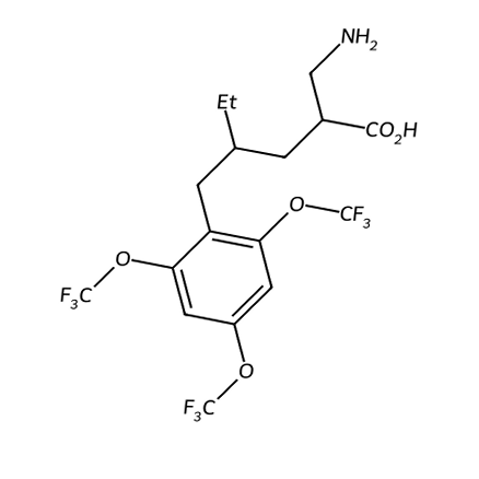 CCC(Cc1c(OC(F)(F)F)cc(OC(F)(F)F)cc1OC(F)(F)F)CC(CN)C(=O)O